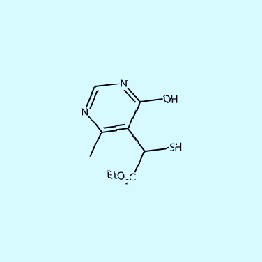 CCOC(=O)C(S)c1c(C)ncnc1O